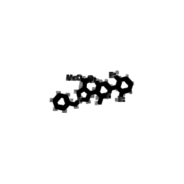 CCc1cccc(CC)c1-c1cc(CC)c(C2CN(Cc3ccccc3)CC2C(=O)OC)c(C)n1